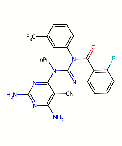 CCCN(c1nc(N)nc(N)c1C#N)c1nc2cccc(F)c2c(=O)n1-c1cccc(C(F)(F)F)c1